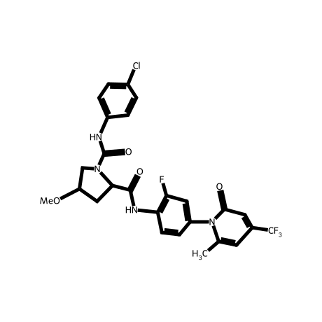 COC1CC(C(=O)Nc2ccc(-n3c(C)cc(C(F)(F)F)cc3=O)cc2F)N(C(=O)Nc2ccc(Cl)cc2)C1